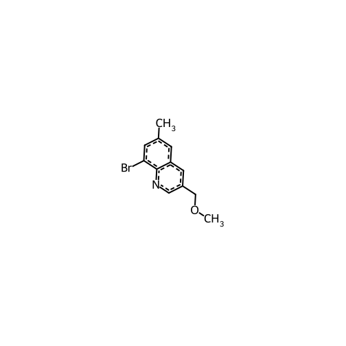 COCc1cnc2c(Br)cc(C)cc2c1